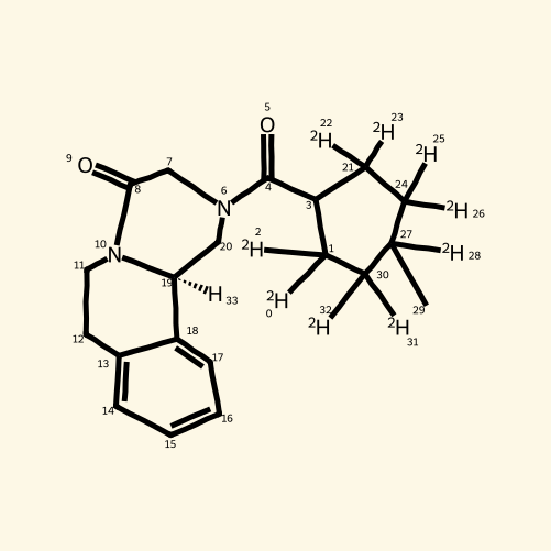 [2H]C1([2H])C(C(=O)N2CC(=O)N3CCc4ccccc4[C@@H]3C2)C([2H])([2H])C([2H])([2H])C([2H])(C)C1([2H])[2H]